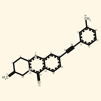 C=C1CCc2nc3cc(C#Cc4cccc(C)c4)ccc3c(=O)n2C1